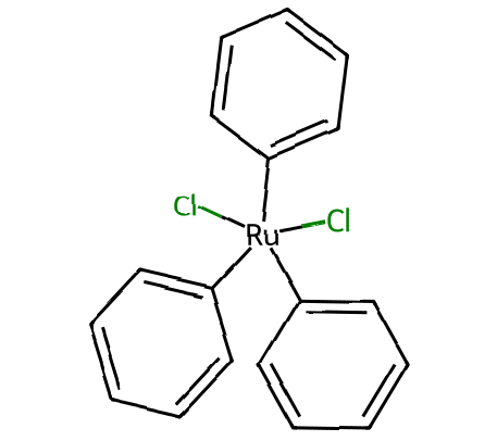 [Cl][Ru]([Cl])([c]1ccccc1)([c]1ccccc1)[c]1ccccc1